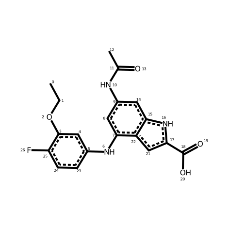 CCOc1cc(Nc2cc(NC(C)=O)cc3[nH]c(C(=O)O)cc23)ccc1F